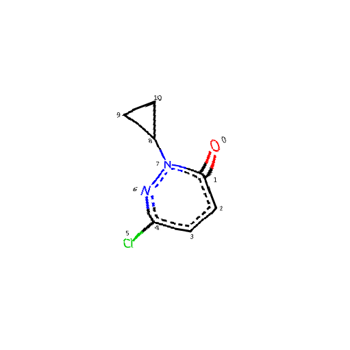 O=c1ccc(Cl)nn1C1CC1